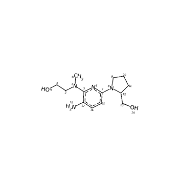 CN(CCO)c1nc(N2CCCC2CO)ccc1N